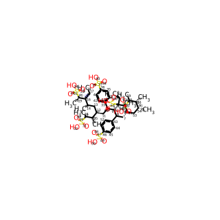 C=CC(C)([C@H](C)[C@@H](CC(CC(C[C@H](CC(C)/C(=C/C)[C@@H](C)S(=O)(=O)O)[C@@H](C)C(C)S(=O)(=O)O)c1ccc(S(=O)(=O)O)cc1)c1ccc(S(=O)(=O)O)cc1)C[C@@H](C)[C@@H](C)C(C)S(=O)(=O)O)S(=O)(=O)O